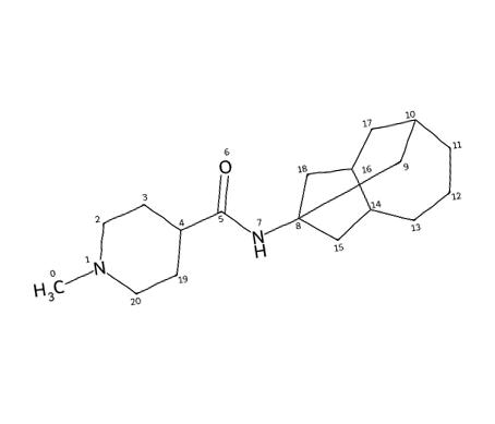 CN1CCC(C(=O)NC23CC4CCCC(C2)C(C4)C3)CC1